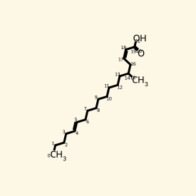 CCCCC=CCCCCCCCCC(C)C/C=C\C(=O)O